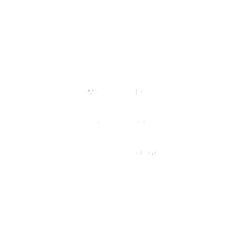 CCCCCCC(C)(C)C(CC)OC